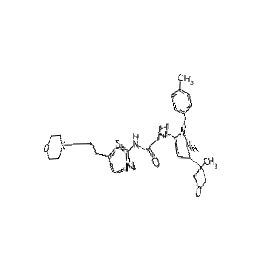 Cc1ccc(N2NC(C3(C)COC3)C=C2NC(=O)Nc2ncc(CCN3CCOCC3)s2)cc1